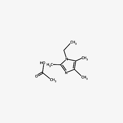 CC(=O)O.CCn1c(C)nc(C)c1C